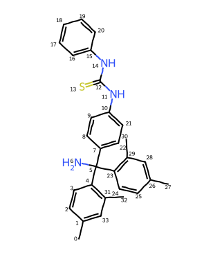 Cc1ccc(C(N)(c2ccc(NC(=S)Nc3ccccc3)cc2)c2ccc(C)cc2C)c(C)c1